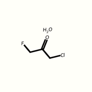 O.O=C(CF)CCl